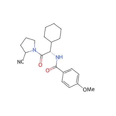 COc1ccc(C(=O)N[C@H](C(=O)N2CCCC2C#N)C2CCCCC2)cc1